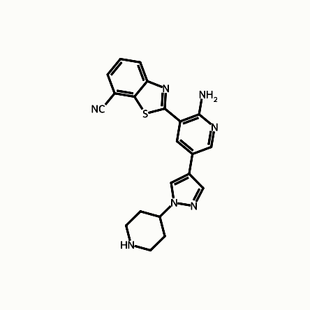 N#Cc1cccc2nc(-c3cc(-c4cnn(C5CCNCC5)c4)cnc3N)sc12